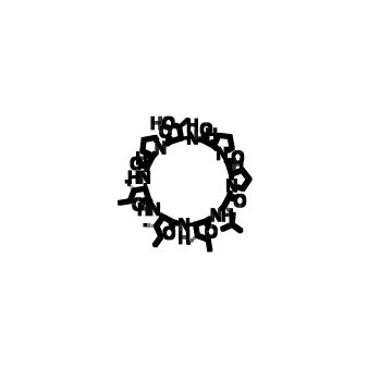 CC[C@H](C)[C@@H]1NC(=O)[C@H]([C@@H](C)CC)NC(=O)[C@H]([C@@H](C)CC)NC(=O)[C@@H]2CCCN2C(=O)[C@H]([C@H](C)O)NC(=O)[C@@H]2CCCN2C(=O)[C@@H]2CCCN2C(=O)[C@H](CC(C)C)NC1=O